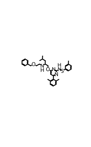 Cc1cccc(SNc2nc(OCC(CC(C)C)NCCOCc3ccccc3)cc(-c3c(C)cccc3C)n2)c1